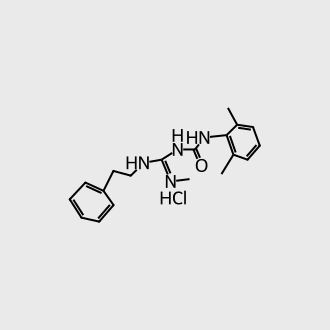 CN=C(NCCc1ccccc1)NC(=O)Nc1c(C)cccc1C.Cl